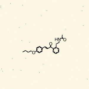 CCCCOc1ccc(C=CC(=O)c2ccccc2CCNC(C)=O)cc1